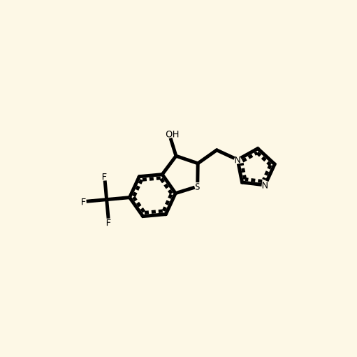 OC1c2cc(C(F)(F)F)ccc2SC1Cn1ccnc1